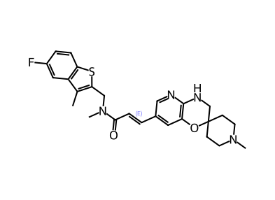 Cc1c(CN(C)C(=O)/C=C/c2cnc3c(c2)OC2(CCN(C)CC2)CN3)sc2ccc(F)cc12